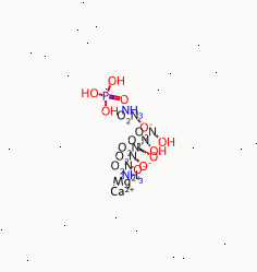 N.N.O=P(O)(O)O.O=[N+]([O-])O.O=[N+]([O-])O.O=[N+]([O-])[O-].O=[N+]([O-])[O-].O=[N+]([O-])[O-].O=[N+]([O-])[O-].[Ca+2].[Mg+2]